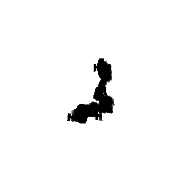 CC(C)(C)OC(=O)c1sc(-c2cccc(NC3CCN(S(=O)(=O)Cc4cccc(NC(=O)CCCCCOCCOCCOc5cccc6c5C(=O)N(C5CCC(=O)NC5=O)C6=O)c4)CC3)c2)c(Cl)c1OCC(=O)O